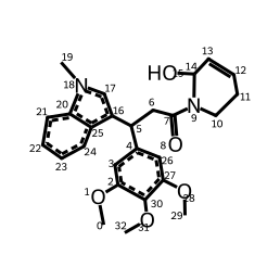 COc1cc(C(CC(=O)N2CCC=CC2O)c2cn(C)c3ccccc23)cc(OC)c1OC